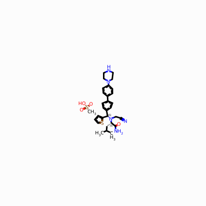 CC(C)C[C@@H](C(N)=O)N(CC#N)[C@@H](c1ccc(-c2ccc(N3CCNCC3)cc2)cc1)c1cccs1.CS(=O)(=O)O